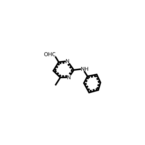 Cc1cc(C=O)nc(Nc2ccccc2)n1